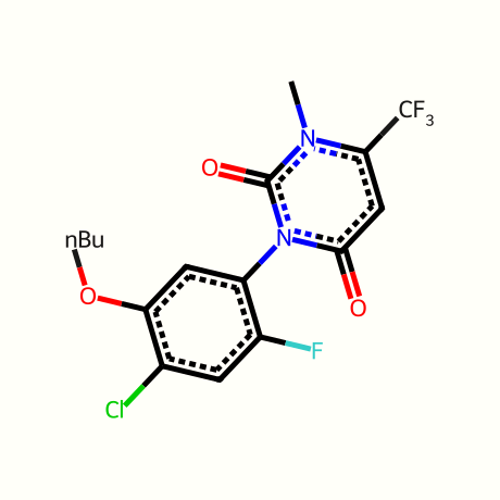 CCCCOc1cc(-n2c(=O)cc(C(F)(F)F)n(C)c2=O)c(F)cc1Cl